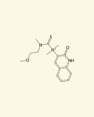 COCCN(C)C(=S)[N+](C)(C)c1cc2ccccc2[nH]c1=O